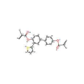 C=C(C)C(=O)Oc1ccc(-c2ccc(OC(=O)C(=C)C)c(-c3cccs3)c2)cc1